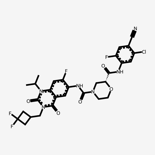 CC(C)n1c(=O)n(CC2CC(F)(F)C2)c(=O)c2cc(NC(=O)N3CCO[C@@H](C(=O)Nc4cc(Cl)c(C#N)cc4F)C3)c(F)cc21